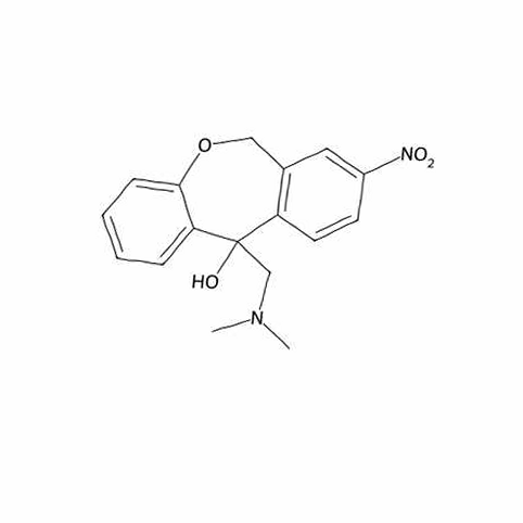 CN(C)CC1(O)c2ccc([N+](=O)[O-])cc2COc2ccccc21